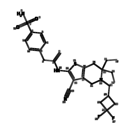 C=C(Cc1ccc(S(N)(=O)=O)cc1)Nc1sc2c(c1C#N)CN(CC1CC(F)(F)C1)C(CC)(CC)C2